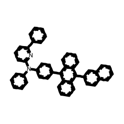 c1ccc(-c2cccc(N(c3ccccc3)c3ccc(-c4c5ccccc5c(-c5ccc6ccccc6c5)c5ccccc45)cc3)n2)cc1